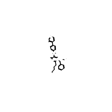 CCCCCc1nc(=O)c(S(=O)(=O)c2ccc(-c3ccncc3C)cc2)c(O)n1[C@@H](COC)c1ccccc1